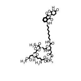 COC(=O)C[C@H](CCC(=O)NCCCCCCCCNc1cccc2c1C(=O)N(C1CCC(=O)NC1=O)C2=O)NC(=O)CC[C@H](OC(=O)CC[C@@H](CC(=O)OC)NC(=O)CC[C@H](N)C(=O)OC)C(=O)OC